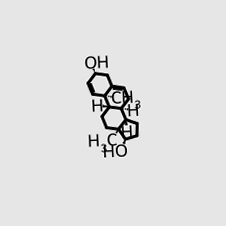 C[C@]12CC[C@H]3[C@@H](CC=C4C[C@@H](O)C=C[C@@]43C)[C@@H]1CC[C@H]2O